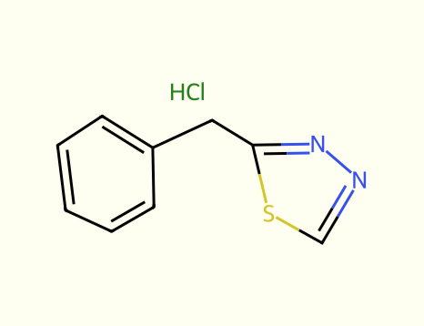 Cl.c1ccc(Cc2nncs2)cc1